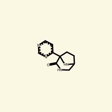 O=C1NCC2CCC1(c1ccn[c]n1)CN2